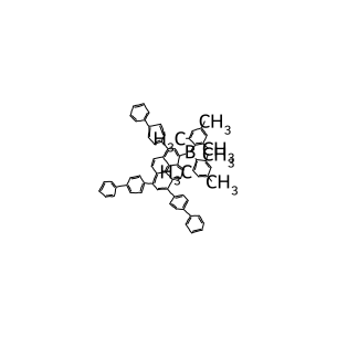 Cc1cc(C)c(B(c2c(C)cc(C)cc2C)c2cc(-c3ccc(-c4ccccc4)cc3)c3ccc4c(-c5ccc(-c6ccccc6)cc5)cc(-c5ccc(-c6ccccc6)cc5)c5ccc2c3c54)c(C)c1